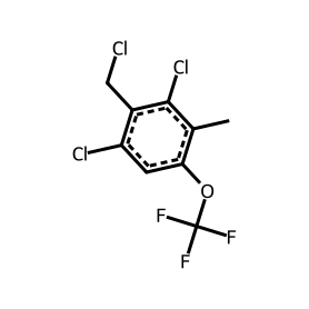 Cc1c(OC(F)(F)F)cc(Cl)c(CCl)c1Cl